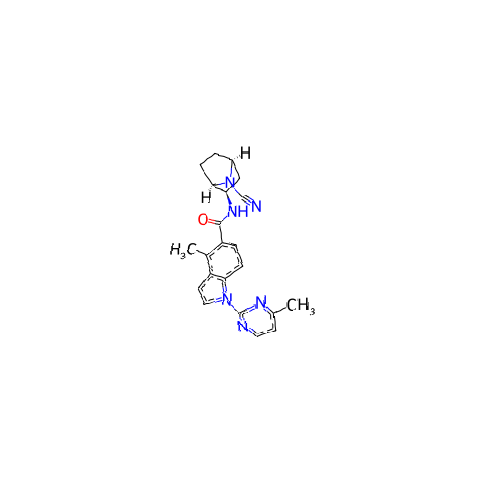 Cc1ccnc(-n2ccc3c(C)c(C(=O)N[C@@H]4C[C@@H]5CC[C@H]4N5C#N)ccc32)n1